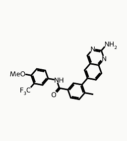 COc1ccc(NC(=O)c2ccc(C)c(-c3ccc4nc(N)ncc4c3)c2)cc1C(F)(F)F